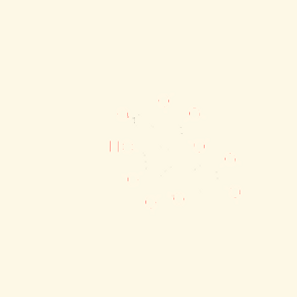 CCCCCCOc1c(O)c2c(c(-c3ccc(OC)c(OC)c3)c1C(=O)OC)C(OC)=C(OC)C(OC)C2=C=O